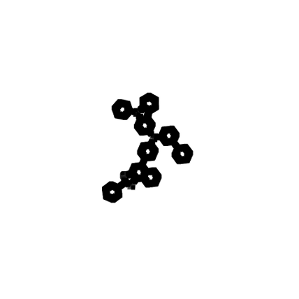 c1ccc(-c2cccc(N(c3ccc(-c4cc5oc(-c6ccccc6)nc5c5ccccc45)cc3)c3ccc4c(c3)c3ccccc3n4-c3ccccc3)c2)cc1